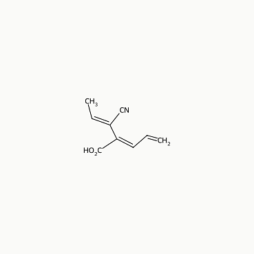 C=CC=C(C(=O)O)C(C#N)=CC